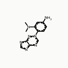 CN(C)c1cc(N)ccc1-n1cnc2ncnc-2n1